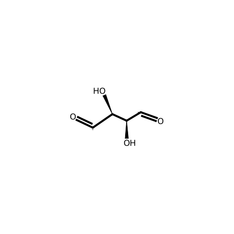 O=[C][C@@H](O)[C@H](O)[C]=O